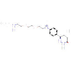 CCN(CCOCCOCCNC(=O)O)c1ccc(C2=NNC(=O)C[C@H]2C)cc1